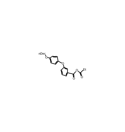 CCCCCCCCCCOc1ccc(Oc2cccc(C(=O)OC(=O)CC)c2)cc1